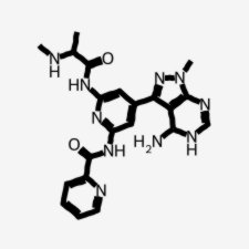 CNC(C)C(=O)Nc1cc(-c2nn(C)c3c2C(N)NC=N3)cc(NC(=O)c2ccccn2)n1